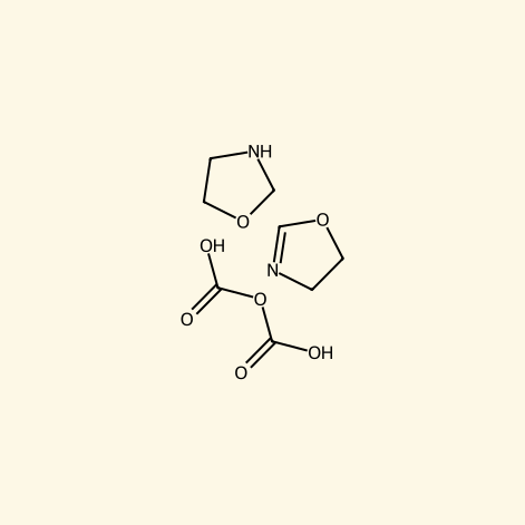 C1=NCCO1.C1COCN1.O=C(O)OC(=O)O